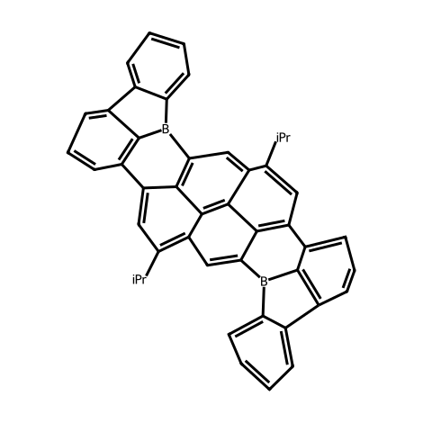 CC(C)c1cc2c3c(cc4c(C(C)C)cc5c6c(cc1c3c46)B1c3ccccc3-c3cccc-5c31)B1c3ccccc3-c3cccc-2c31